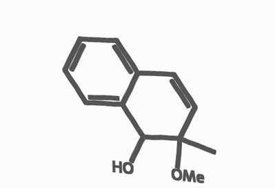 COC1(C)C=Cc2ccccc2C1O